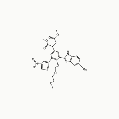 COCCOCOc1c(-c2cccc([N+](=O)[O-])c2)cc(C(CC(=O)OC)C(=O)OC)cc1-c1cc2cc(C#N)ccc2[nH]1